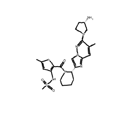 Cc1cc(NS(C)(=O)=O)c(C(=O)N2CCCC[C@H]2c2cn3nc(N4CC[C@H](N)C4)c(C)cc3n2)s1